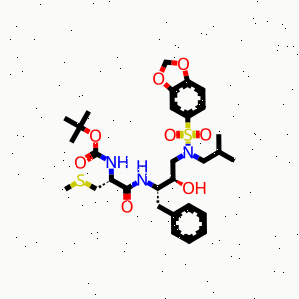 CSC[C@H](NC(=O)OC(C)(C)C)C(=O)N[C@@H](Cc1ccccc1)[C@H](O)CN(CC(C)C)S(=O)(=O)c1ccc2c(c1)OCO2